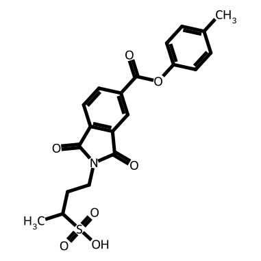 Cc1ccc(OC(=O)c2ccc3c(c2)C(=O)N(CCC(C)S(=O)(=O)O)C3=O)cc1